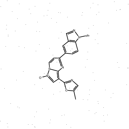 CCCn1ncc2cc(-c3ccn4c(n3)c(-c3ncc(C)o3)c[n+]4[O-])ccc21